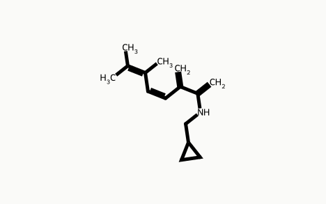 C=C(/C=C\C(C)=C(C)C)C(=C)NCC1CC1